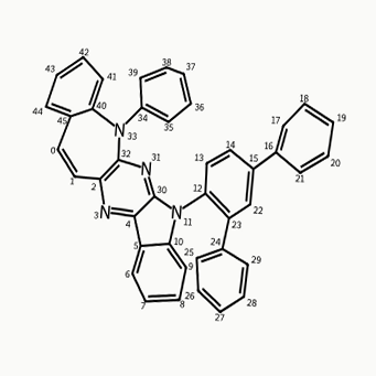 C1=Cc2nc3c4ccccc4n(-c4ccc(-c5ccccc5)cc4-c4ccccc4)c3nc2N(c2ccccc2)c2ccccc21